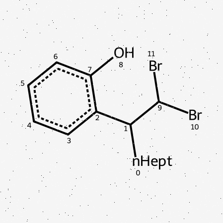 CCCCCCCC(c1ccccc1O)C(Br)Br